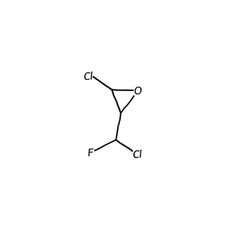 FC(Cl)C1OC1Cl